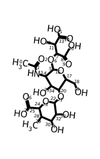 CC(=O)NC1C(OC(C(=O)O)C(O)C(=O)O)OC(CO)C(OC2OC(C(=O)O)C(C)C(O)C2O)C1O